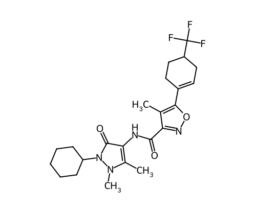 Cc1c(C(=O)Nc2c(C)n(C)n(C3CCCCC3)c2=O)noc1C1=CCC(C(F)(F)F)CC1